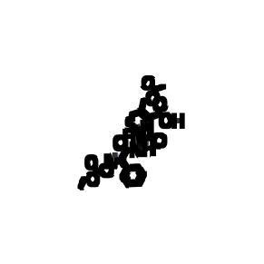 CCOC(=O)O/N=C(/C(=O)N[C@@H]1C(=O)N2C(C(=O)O)=C(COC(C)=O)CS[C@H]12)c1ccccc1